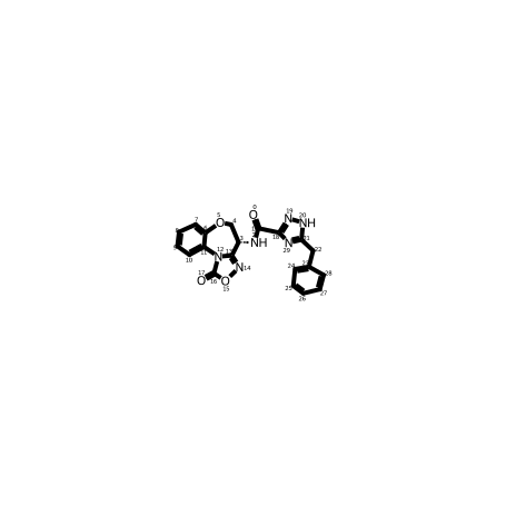 O=C(N[C@H]1COc2ccccc2-n2c1noc2=O)c1n[nH]c(Cc2ccccc2)n1